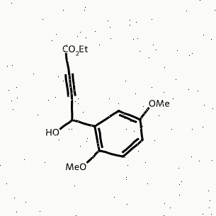 CCOC(=O)C#CC(O)c1cc(OC)ccc1OC